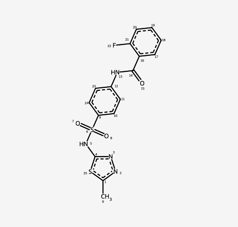 Cc1nnc(NS(=O)(=O)c2ccc(NC(=O)c3ccccc3F)cc2)s1